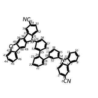 N#Cc1ccc2c(c1)c1ccccc1n2-c1cccc(-c2ccccc2-c2cccc(-n3c4ccc(C#N)cc4c4cc5oc6ccccc6c5cc43)c2)c1